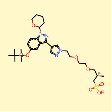 C[C@H](COCCOCCn1cc(-c2nn(C3CCCCO3)c3ccc(O[Si](C)(C)C(C)(C)C)cc23)cn1)CS(=O)(=O)O